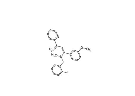 C=C(/C=C(/c1cccc(OC)c1)N(C)Cc1ccccc1F)c1ccccn1